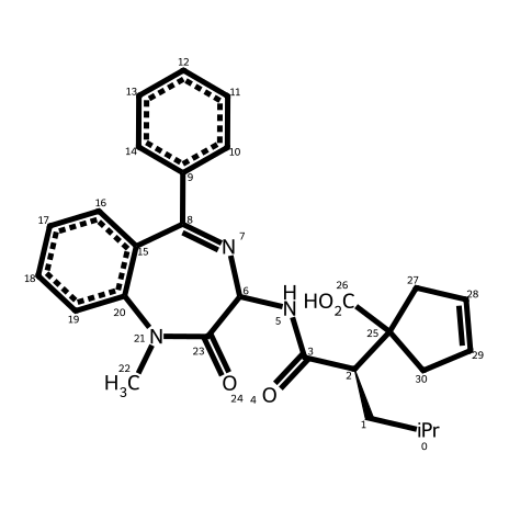 CC(C)C[C@@H](C(=O)NC1N=C(c2ccccc2)c2ccccc2N(C)C1=O)C1(C(=O)O)CC=CC1